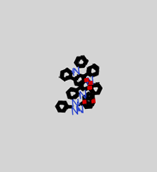 c1ccc(-c2nnc(-c3ccccc3)n2-c2cccc3c4ccccc4n(-c4ccccc4-c4cccc(-n5c6ccccc6c6c5ccc5c7ccccc7n(-c7ccccc7)c56)c4)c23)cc1